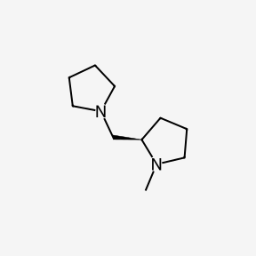 CN1CCC[C@@H]1CN1CCCC1